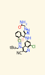 BC(Nc1cc(Cl)c2ncc(C#N)c(NCC(C)(C)C)c2c1)(c1cn(CC(N)=O)nn1)c1ccccc1Cl